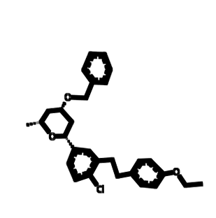 CCOc1ccc(CCc2cc([C@H]3C[C@@H](OCc4ccccc4)C[C@@H](C)O3)ccc2Cl)cc1